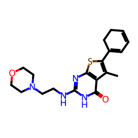 Cc1c(C2=CC=CCC2)sc2nc(NCCN3CCOCC3)[nH]c(=O)c12